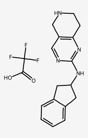 O=C(O)C(F)(F)F.c1ccc2c(c1)CC(Nc1ncc3c(n1)CCNC3)C2